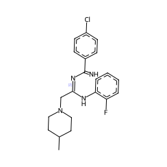 CC1CCN(C/C(=N/C(=N)c2ccc(Cl)cc2)Nc2ccccc2F)CC1